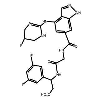 O=C(O)CC(NC(=O)CNC(=O)c1cc(NC2=NCC(F)CN2)c2cn[nH]c2c1)c1cc(Br)cc(I)c1